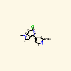 Cn1ccc2c(C3=CCN=C(C(C)(C)C)C3)nc(Cl)cc21